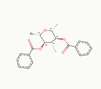 CC(C)[C@@H]1O[C@H](C)[C@@H](OC(=O)c2ccccc2)[C@H](C)[C@H]1OC(=O)c1ccccc1